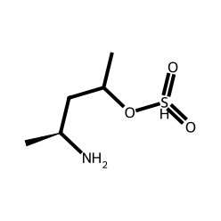 CC(C[C@H](C)N)O[SH](=O)=O